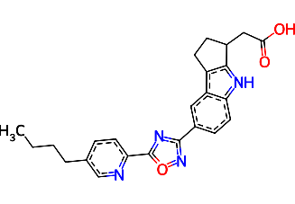 CCCCc1ccc(-c2nc(-c3ccc4[nH]c5c(c4c3)CCC5CC(=O)O)no2)nc1